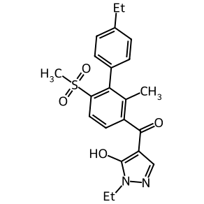 CCc1ccc(-c2c(S(C)(=O)=O)ccc(C(=O)c3cnn(CC)c3O)c2C)cc1